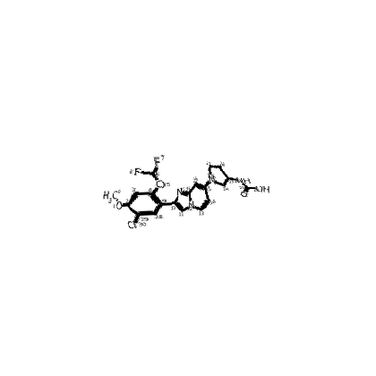 COc1cc(OC(F)F)c(-c2cn3ccc(N4CCC(NC(=O)O)C4)cc3n2)cc1Cl